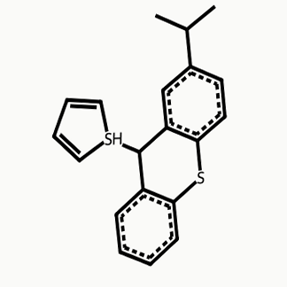 CC(C)c1ccc2c(c1)C([SH]1C=CC=C1)c1ccccc1S2